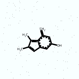 C=c1cc(O)cc2c1=C(C)C(C)=C2